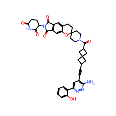 Nc1nnc(-c2ccccc2O)cc1C#CC1CC2(C1)CC(C(=O)N1CCC3(CCc4cc5c(cc4O3)C(=O)N(C3CCC(=O)NC3=O)C5=O)CC1)C2